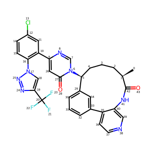 C[C@@H]1CCC[C@H](n2cnc(-c3cc(Cl)ccc3-n3cc(C(F)(F)F)nn3)cc2=O)c2cccc(c2)-c2ccncc2NC1=O